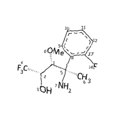 CO[C@@H]([C@H](O)C(F)(F)F)[C@](C)(N)c1ccccc1F